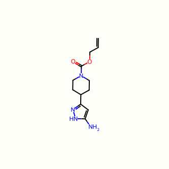 C=CCOC(=O)N1CCC(c2cc(N)[nH]n2)CC1